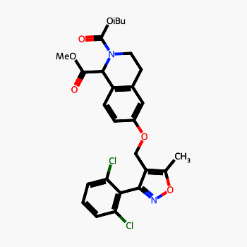 COC(=O)C1c2ccc(OCc3c(-c4c(Cl)cccc4Cl)noc3C)cc2CCN1C(=O)OCC(C)C